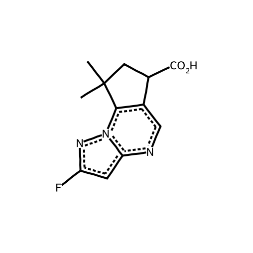 CC1(C)CC(C(=O)O)c2cnc3cc(F)nn3c21